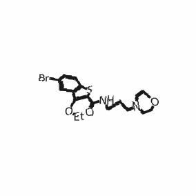 CCOc1c(C(=O)NCCCN2CCOCC2)sc2ccc(Br)cc12